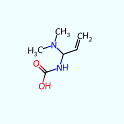 C=CC(NC(=O)O)N(C)C